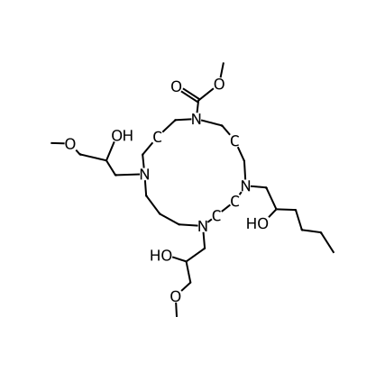 CCCCC(O)CN1CCCN(C(=O)OC)CCCN(CC(O)COC)CCCN(CC(O)COC)CC1